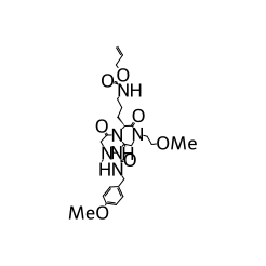 C=CCOC(=O)NCCC[C@H]1C(=O)N(CCOC)C[C@H]2N1C(=O)CN(C)N2C(=O)NCc1ccc(OC)cc1